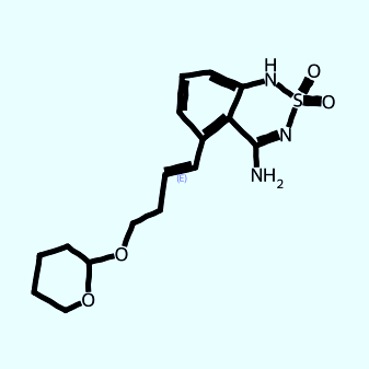 NC1=NS(=O)(=O)Nc2cccc(/C=C/CCOC3CCCCO3)c21